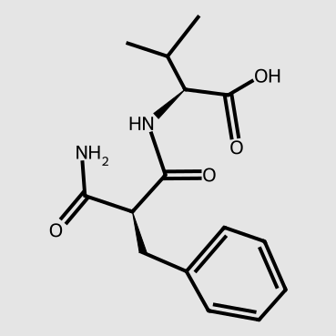 CC(C)[C@H](NC(=O)[C@@H](Cc1ccccc1)C(N)=O)C(=O)O